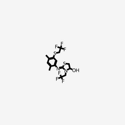 Cc1cc(C)c(SCC(F)(F)F)cc1/N=C1\SCC(O)N1CC(F)(F)F